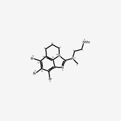 CNCCN(C)c1nc2c(Br)c(Br)c(Br)c3c2n1CCC3